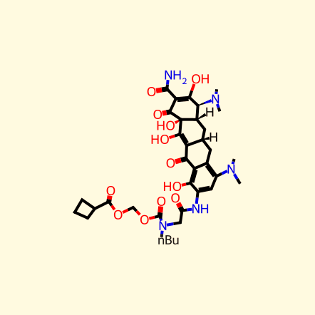 CCCCN(CC(=O)Nc1cc(N(C)C)c2c(c1O)C(=O)C1=C(O)[C@]3(O)C(=O)C(C(N)=O)=C(O)[C@@H](N(C)C)[C@@H]3C[C@@H]1C2)C(=O)OCOC(=O)C1CCC1